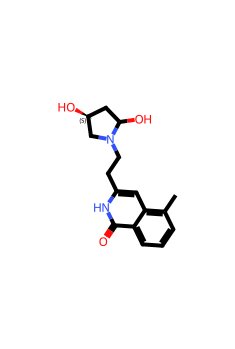 Cc1cccc2c(=O)[nH]c(CCN3C[C@@H](O)CC3O)cc12